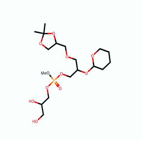 COP(=O)(OCC(O)CO)OCC(COCC1COC(C)(C)O1)OC1CCCCO1